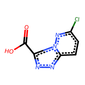 O=C(O)c1nnc2ccc(Cl)nn12